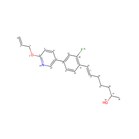 C=CCOc1ccc(-c2ccc(/C=C/CCCC(C)O)c(F)c2)cn1